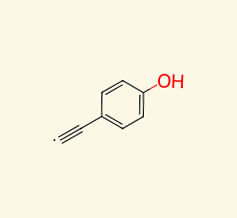 [C]#Cc1ccc(O)cc1